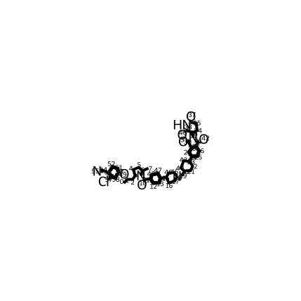 CC(CC1CCC(C)N1C(=O)c1ccc(C2CCN(CC3CCC(c4ccc5c(c4)C(=O)N(C4CCC(=O)NC4=O)C5=O)CC3)CC2)cc1)Oc1ccc(C#N)c(Cl)c1